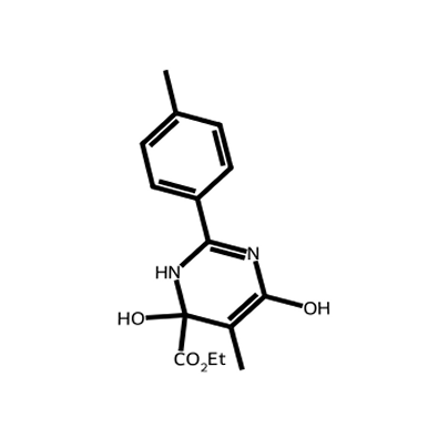 CCOC(=O)C1(O)NC(c2ccc(C)cc2)=NC(O)=C1C